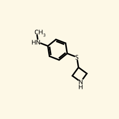 CNc1ccc(SC2CNC2)cc1